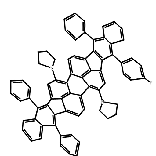 Fc1ccc(-c2c3c(c(-c4ccccc4)c4ccccc24)-c2cc(N4CCCC4)c4c5ccc6c7c(cc(N8CCCC8)c(c8ccc-3c2c84)c75)-c2c-6c(-c3ccccc3)c3ccccc3c2-c2ccc(F)cc2)cc1